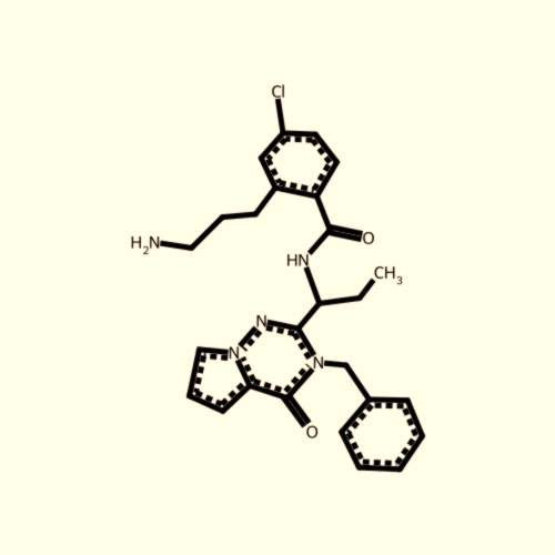 CCC(NC(=O)c1ccc(Cl)cc1CCCN)c1nn2cccc2c(=O)n1Cc1ccccc1